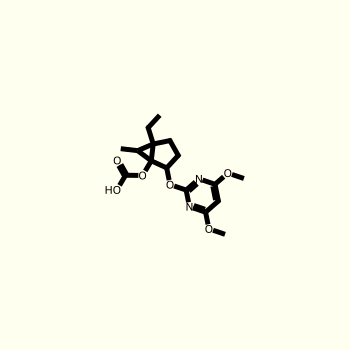 CCC12CCC(Oc3nc(OC)cc(OC)n3)C1(OC(=O)O)C2C